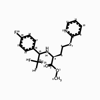 COC(=O)[C@H](CCSc1ccccn1)NC(c1ccc(F)cc1)C(F)(F)F